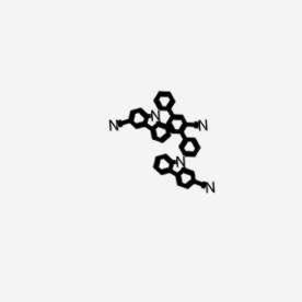 N#Cc1ccc2c(c1)c1ccccc1n2-c1ccccc1-c1ccc(-c2cccc(-n3c4ccccc4c4ccc(C#N)cc43)c2)c(C#N)c1